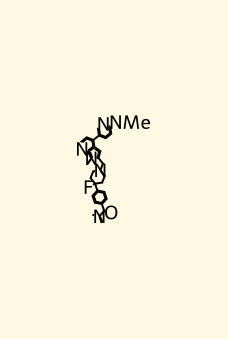 CNc1ccc(-c2ccnc3c2cc(CN2CCC(F)(c4ccc(C(=O)N(C)C)cc4)CC2)n3C)cn1